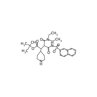 CCN(CC)C(=O)C(C(=O)NS(=O)(=O)c1ccc2ccccc2c1)C(C(=O)OC(C)(C)C)C1CCNCC1